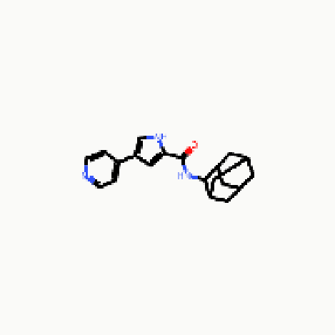 O=C(NC1C2CC3CC(C2)CC1C3)c1cc(-c2ccncc2)c[nH]1